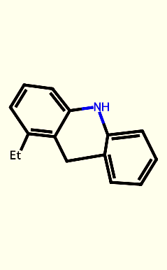 CCc1cccc2c1Cc1ccccc1N2